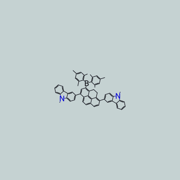 Cc1cc(C)c(B(c2cc(-c3ccc4c(c3)c3ccccc3n4C)c3ccc4ccc(-c5ccc6c(c5)c5ccccc5n6C)c5c4c3c2CC5)c2c(C)cc(C)cc2C)c(C)c1